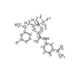 COc1cc(F)ccc1[C@@H]1[C@@H](C)[C@](C)(C(F)(F)F)O[C@H]1C(=O)Nc1ccnc(C(C)=O)c1